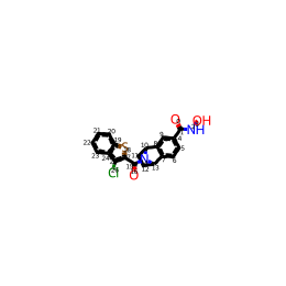 O=C(NO)c1ccc2c(c1)C1CCC2N1C(=O)c1sc2ccccc2c1Cl